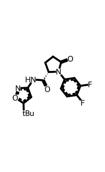 CC(C)(C)c1cc(NC(=O)[C@@H]2CCC(=O)N2c2ccc(F)c(F)c2)no1